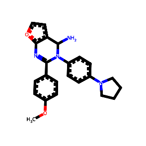 COc1ccc(C2=Nc3occc3C(N)N2c2ccc(N3CCCC3)cc2)cc1